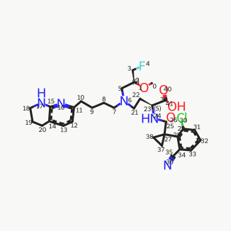 CO[C@H](CF)CN(CCCCc1ccc2c(n1)NCCC2)CC[C@H](NC(=O)C1(c2c(Cl)cccc2C#N)CC1)C(=O)O